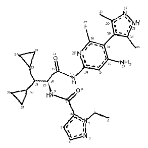 CCn1nccc1C(=O)N[C@H](C(=O)Nc1cc(N)c(-c2c(C)n[nH]c2C)c(F)n1)C(C1CC1)C1CC1